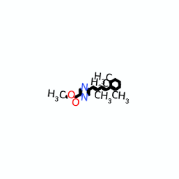 CCOC(=O)c1cnc(/C=C(\C)C=CC2=C(C)CCCC2(C)C)cn1